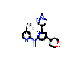 C=C(/C=N\N(C)C)c1cc(C2CCOCC2)cc(Nc2cc(C(F)(F)F)ccn2)n1